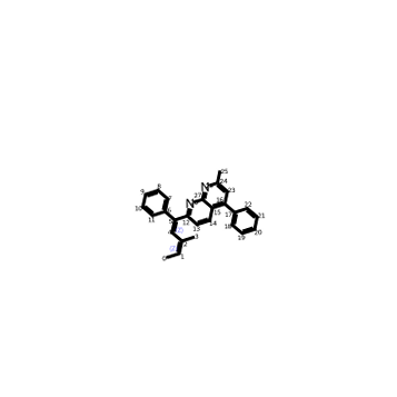 C/C=C(C)\C=C(\c1ccccc1)c1ccc2c(-c3ccccc3)cc(C)nc2n1